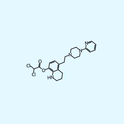 O=C(Oc1ccc(CCN2CCN(c3ccccn3)CC2)c2c1NCCC2)C(Cl)Cl